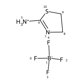 F[B-](F)(F)F.[NH3+]C1=NCCS1